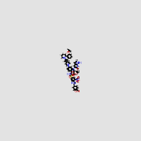 CC(C)Oc1ccccc1[C@@H]1CCCCN1C1CC2(CCN(c3ccc(C(=O)NS(=O)(=O)c4ccc(NCC5CCC(C)(O)CC5)c([N+](=O)[O-])c4)c(N4c5cc6cc[nH]c6nc5O[C@H]5COCC[C@@H]54)c3)CC2)C1